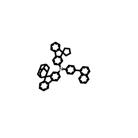 c1ccc2c(c1)-c1ccc(N(c3ccc(-c4cccc5ccccc45)cc3)c3ccc4c(c3)C3(c5ccccc5-4)C4CC5CC(C4)CC3C5)cc1C21CCCC1